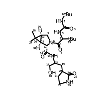 CC(C)(C)NC(=O)NC(C(=O)N1C[C@H]2[C@@H]([C@H]1C(=O)NC(CO)C[C@@H]1CCNC1=O)C2(C)C)C(C)(C)C